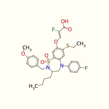 CCCCC1CN(c2ccc(F)cc2)c2cc(SCC)c(OC=C(F)C(=O)O)cc2S(=O)(=O)N1Cc1ccc(OC)cc1